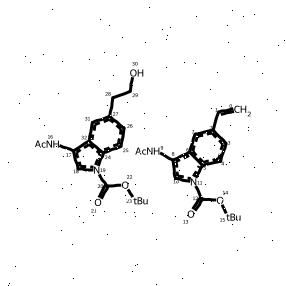 C=Cc1ccc2c(c1)c(NC(C)=O)cn2C(=O)OC(C)(C)C.CC(=O)Nc1cn(C(=O)OC(C)(C)C)c2ccc(CCO)cc12